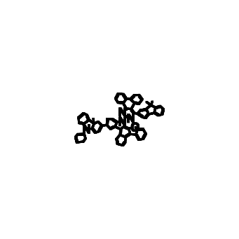 CC12CC(c3ccc4c(c3)c3c5ccccc5c5c6ccccc6oc5c3n4-c3nc(-c4ccc5c(c4)C(C)(C)c4ccccc4-5)c4c5ccccc5c5ccccc5c4n3)=CC=C1N(C1=CC=CCC1)c1ccccc12